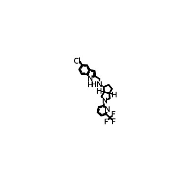 FC(F)(F)c1cccc(N2C[C@H]3CC[C@H](NCc4cc5cc(Cl)ccc5[nH]4)[C@H]3C2)n1